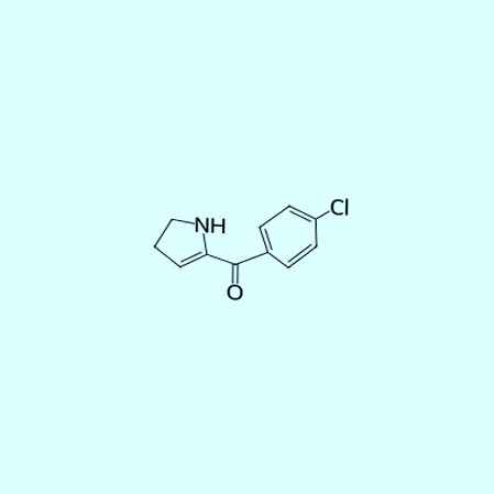 O=C(C1=CCCN1)c1ccc(Cl)cc1